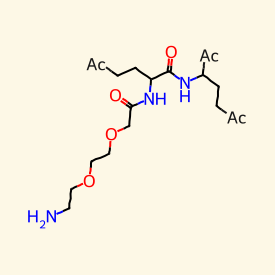 CC(=O)CCC(NC(=O)C(CCC(C)=O)NC(=O)COCCOCCN)C(C)=O